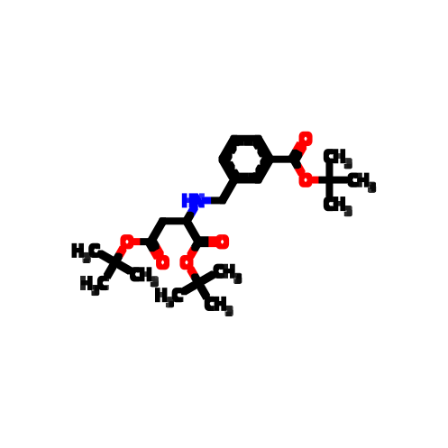 CC(C)(C)OC(=O)CC(NCc1cccc(C(=O)OC(C)(C)C)c1)C(=O)OC(C)(C)C